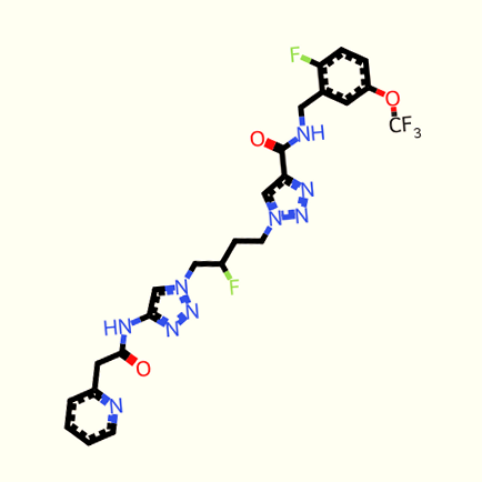 O=C(Cc1ccccn1)Nc1cn(CC(F)CCn2cc(C(=O)NCc3cc(OC(F)(F)F)ccc3F)nn2)nn1